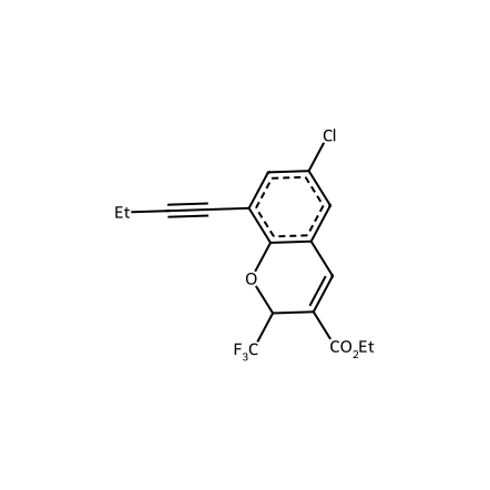 CCC#Cc1cc(Cl)cc2c1OC(C(F)(F)F)C(C(=O)OCC)=C2